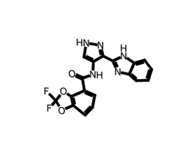 O=C(Nc1c[nH]nc1-c1nc2ccccc2[nH]1)c1cccc2c1OC(F)(F)O2